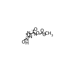 COC(=O)CO/N=C(\[C]=O)c1nsc(NC=O)n1